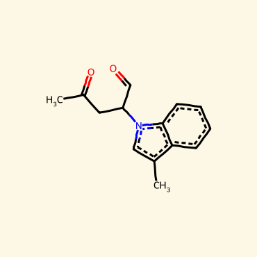 CC(=O)CC(C=O)n1cc(C)c2ccccc21